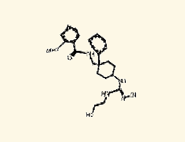 COc1ccccc1C(=O)NC[C@]1(c2ccccc2)CC[C@H](N/C(=N\C#N)NCCO)CC1